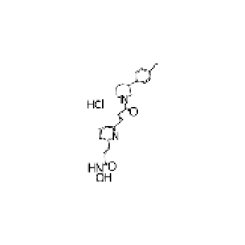 Cc1ccc(C2CCCN(C(=O)C=Cc3cccc(C=CC(=O)NO)n3)C2)cc1.Cl